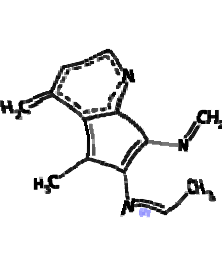 C=NC1=C(/N=C\C)C(C)=c2c1nccc2=C